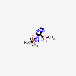 C=C(OCC)c1c(NC(=O)OC(C)(C)C)cnn2ccnc12